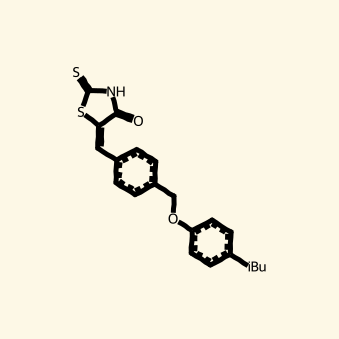 CCC(C)c1ccc(OCc2ccc(C=C3SC(=S)NC3=O)cc2)cc1